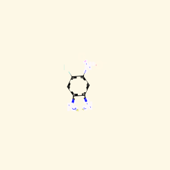 O=[N+]([O-])c1cc2nsnc2cc1F